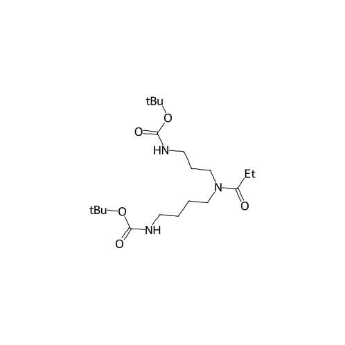 CCC(=O)N(CCCCNC(=O)OC(C)(C)C)CCCNC(=O)OC(C)(C)C